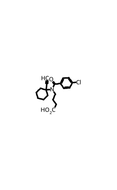 C#CC1(N(CCCC(=O)O)C(=O)c2ccc(Cl)cc2)CCCCC1